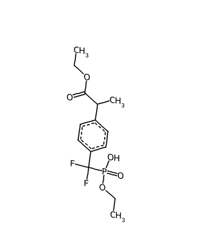 CCOC(=O)C(C)c1ccc(C(F)(F)P(=O)(O)OCC)cc1